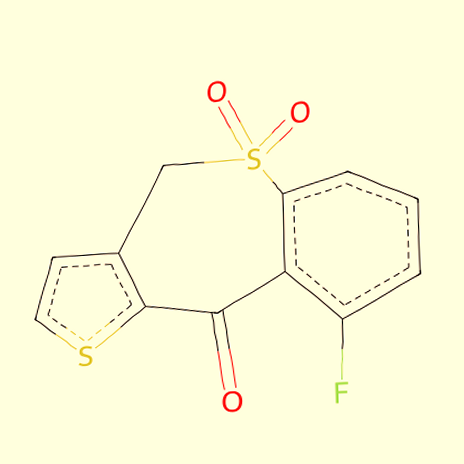 O=C1c2sccc2CS(=O)(=O)c2cccc(F)c21